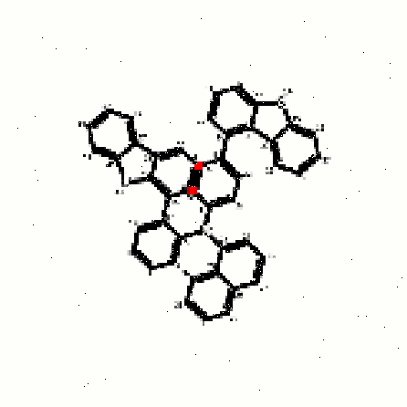 c1ccc(N(c2ccc(-c3cccc4sc5ccccc5c34)cc2)c2cccc3ccccc23)c(-c2cccc3c2oc2ccccc23)c1